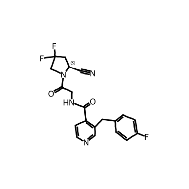 N#C[C@@H]1CC(F)(F)CN1C(=O)CNC(=O)c1ccncc1Cc1ccc(F)cc1